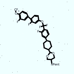 CCCCCC1COC(C2CCC(c3ccc(C(F)(F)Oc4ccc(-c5ccc(OC(F)(F)F)c(F)c5)c(F)c4)c(F)c3)CC2)OC1